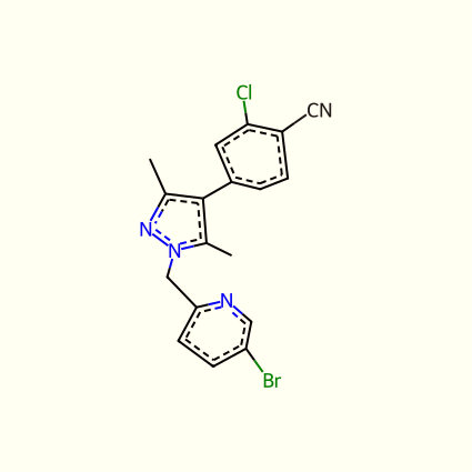 Cc1nn(Cc2ccc(Br)cn2)c(C)c1-c1ccc(C#N)c(Cl)c1